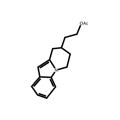 CC(=O)OCCC1CCn2c(cc3ccccc32)C1